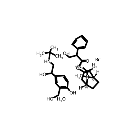 CC(C)(C)NCC(O)c1ccc(O)c(CO)c1.CC(C)[N+]1(C)[C@@H]2CC[C@H]1CC(OC(=O)C(CO)c1ccccc1)C2.O.[Br-]